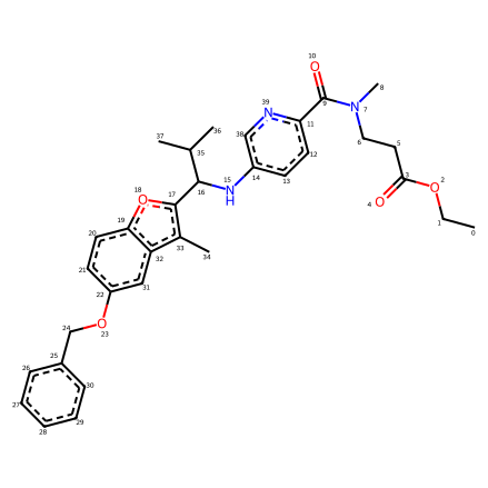 CCOC(=O)CCN(C)C(=O)c1ccc(NC(c2oc3ccc(OCc4ccccc4)cc3c2C)C(C)C)cn1